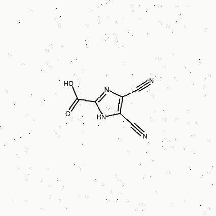 N#Cc1nc(C(=O)O)[nH]c1C#N